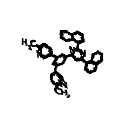 Cc1ccc(-c2cc(-c3ccc(C)nc3)cc(-c3cc(-c4cccc5ccccc45)nc(-c4cccc5ccccc45)n3)c2)cn1